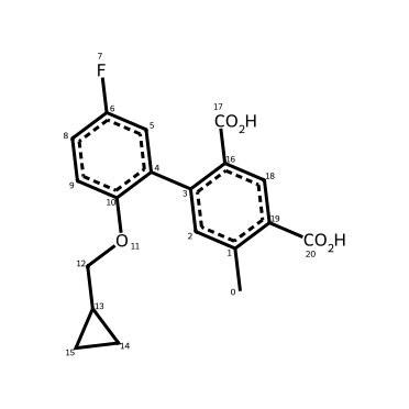 Cc1cc(-c2cc(F)ccc2OCC2CC2)c(C(=O)O)cc1C(=O)O